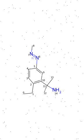 CCc1ccc(/N=N/C)cc1C(C)(C)N